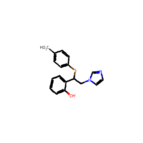 O=C(O)c1ccc(SC(Cn2ccnc2)c2ccccc2O)cc1